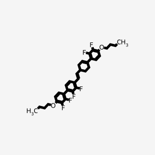 CCCCOc1ccc(C2=CCC(/C=C/c3ccc(-c4ccc(OCCCC)c(F)c4F)c(F)c3F)CC2)c(F)c1F